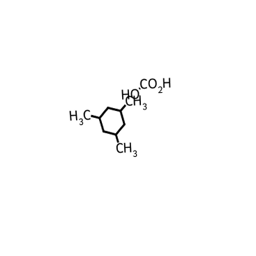 CC1CC(C)CC(C)C1.O=C(O)O